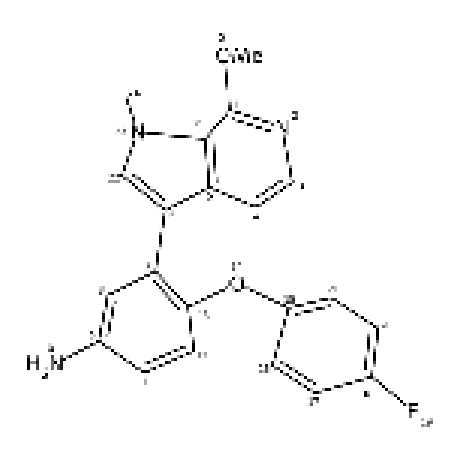 COc1nccc2c(-c3cc(N)ccc3Oc3ccc(F)cc3)cn(C)c12